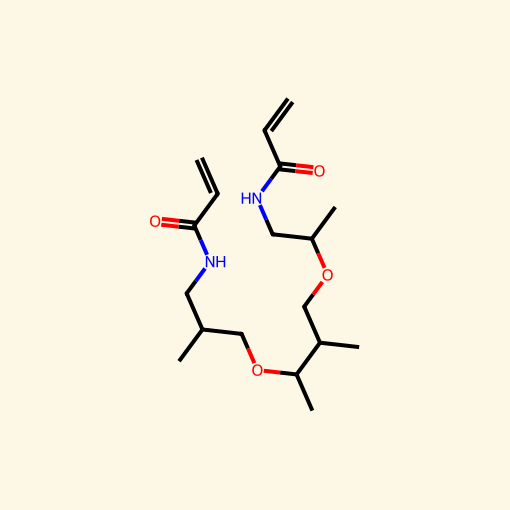 C=CC(=O)NCC(C)COC(C)C(C)COC(C)CNC(=O)C=C